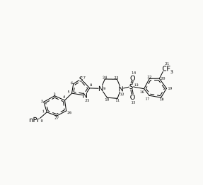 CCCc1ccc(-c2csc(N3CCN(S(=O)(=O)c4cccc(C(F)(F)F)c4)CC3)n2)cc1